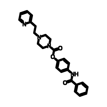 O=C(Nc1ccc(OC(=O)N2CCN(CCc3ccccn3)CC2)cc1)c1ccccc1